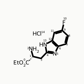 CCOC(=O)[C@H](N)Cc1nc2ccc(F)cc2[nH]1.Cl